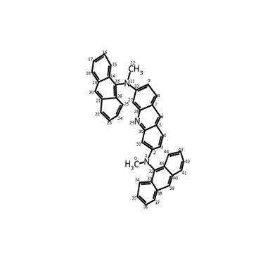 CN(c1ccc2cc3ccc(N(C)c4c5ccccc5cc5ccccc45)cc3nc2c1)c1c2ccccc2cc2ccccc12